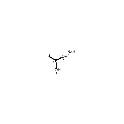 CP(O)O.[NaH]